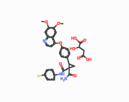 COc1cc2nccc(Oc3ccc(C4CC4(C(N)=O)C(=O)Nc4ccc(F)cc4)cc3)c2cc1OC.O=C(O)CC(O)C(=O)O